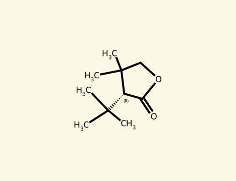 CC(C)(C)[C@H]1C(=O)OCC1(C)C